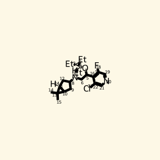 CC[Si](CC)(CC)OC(CNC1CC2[C@H](C1)C2(C)C)c1c(F)cncc1Cl